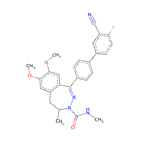 CNC(=O)N1N=C(c2ccc(-c3ccc(F)c(C#N)c3)cc2)c2cc(OC)c(OC)cc2CC1C